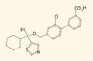 CCC(OCc1ccc(-c2cccc(C(=O)O)c2)c(Cl)c1)(c1cncs1)C1CCCCC1